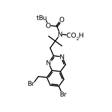 CC(C)(C)OC(=O)N(C(=O)O)C(C)(C)Cc1ncc2cc(Br)cc(CBr)c2n1